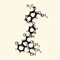 COc1cc2ncnc(Oc3ccc(NC(=O)c4cc5c(n([C@H](CO)C(C)C)c4=O)CCCC5=O)nc3)c2cc1OC